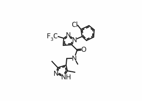 Cc1n[nH]c(C)c1CN(C)C(=O)c1cc(C(F)(F)F)nn1-c1ccccc1Cl